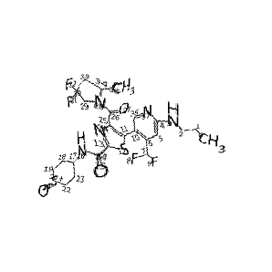 CCCNc1cc(C(F)F)c(-c2sc(C(=O)NC3CC[S+]([O-])CC3)nc2C(=O)N2CC(F)(F)CC2C)cn1